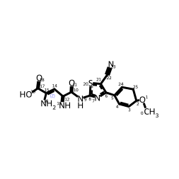 COC1C=CC(c2nc(NC(=O)C(=N)/C=C(\N)C(=O)O)sc2C#N)=CC1